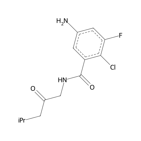 CC(C)CC(=O)CNC(=O)c1cc(N)cc(F)c1Cl